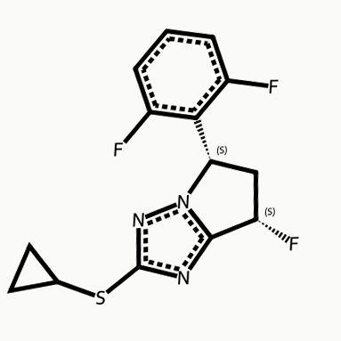 Fc1cccc(F)c1[C@@H]1C[C@H](F)c2nc(SC3CC3)nn21